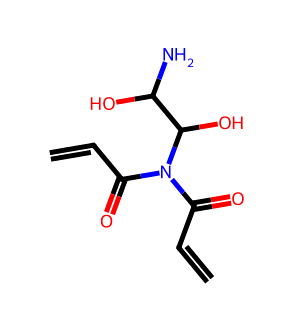 C=CC(=O)N(C(=O)C=C)C(O)C(N)O